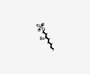 CCCCCCCCOP(=O)([O-])[O-].[Ba+2]